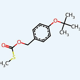 CSC(=O)OCc1ccc(OC(C)(C)C)cc1